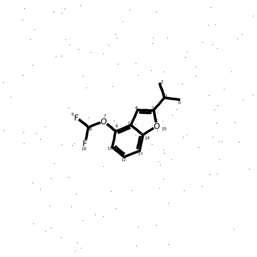 CC(C)c1cc2c(OC(F)F)cccc2o1